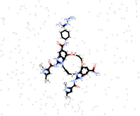 CCn1nc(C)cc1C(=O)Nc1nc2cc(C(N)=O)cc3c2n1C/C=C/Cn1c(NC(=O)c2cc(C)nn2CC)nc2cc(C(=O)N[C@H]4CC[C@@H](/C(N)=N/NN)CC4)cc(c21)OCCCO3